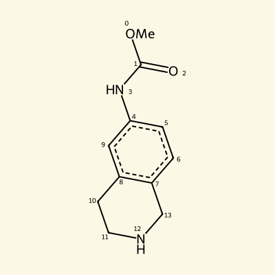 COC(=O)Nc1ccc2c(c1)CCNC2